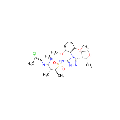 C=N/C(=N\C=C(/C)Cl)[C@@H](C)[C@H](C)S(=O)(=O)Nc1nnc([C@@H]2CCO[C@@H]2C)n1-c1c(OC)cccc1OC